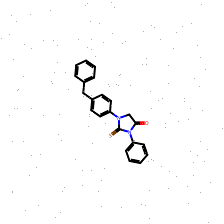 O=C1CN(c2ccc(Cc3ccccc3)cc2)C(=S)N1c1ccccc1